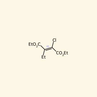 CCOC(=O)/C(Cl)=C(\CC)C(=O)OCC